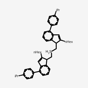 CCCCCCC1=Cc2c(-c3ccc(C(C)C)cc3)cccc2C1C[SiH2]CC1C(CCCCCC)=Cc2c(-c3ccc(C(C)C)cc3)cccc21